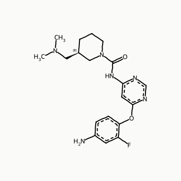 CN(C)C[C@H]1CCCN(C(=O)Nc2cc(Oc3ccc(N)cc3F)ncn2)C1